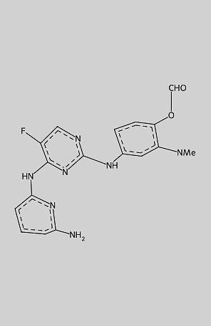 CNc1cc(Nc2ncc(F)c(Nc3cccc(N)n3)n2)ccc1OC=O